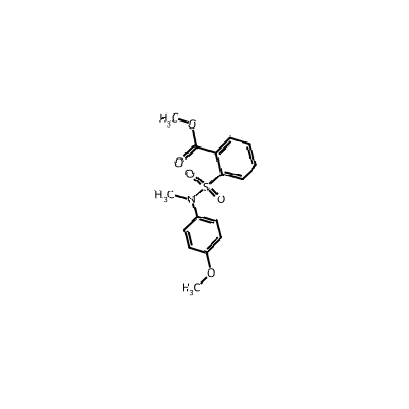 COC(=O)c1ccccc1S(=O)(=O)N(C)c1ccc(OC)cc1